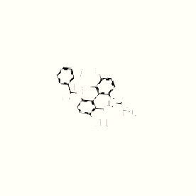 Cc1ccc(OC(=O)c2ccccc2)c(-c2c(OC(=O)C(C)(C)C)ccc(C)c2C)c1C